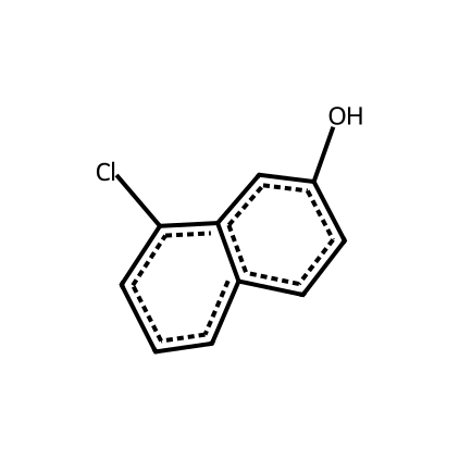 Oc1ccc2cccc(Cl)c2c1